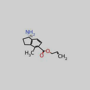 C=CCOC(=O)c1ccc2c(c1C)CC[C@@H]2N